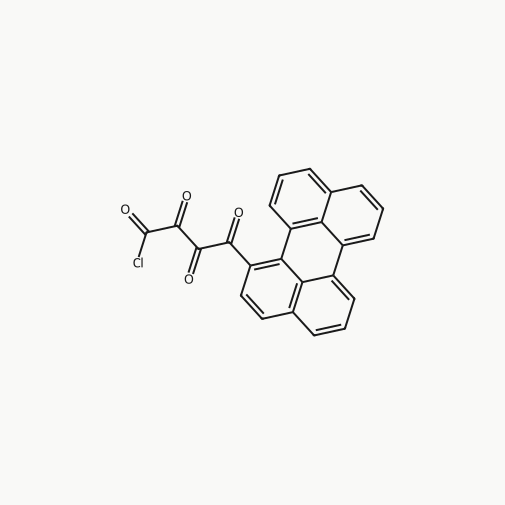 O=C(Cl)C(=O)C(=O)C(=O)c1ccc2cccc3c4cccc5cccc(c1c23)c54